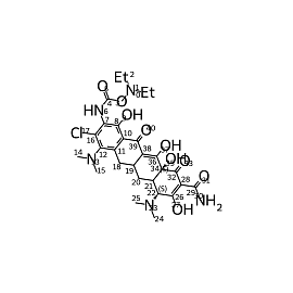 CCN(CC)OC(=O)Nc1c(O)c2c(c(N(C)C)c1Cl)CC1CC3[C@H](N(C)C)C(O)=C(C(N)=O)C(=O)[C@@]3(O)C(O)=C1C2=O